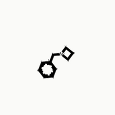 [CH]1CN(Cc2ccccc2)C1